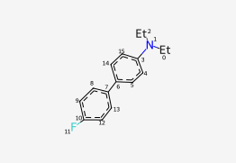 CCN(CC)c1ccc(-c2ccc(F)cc2)cc1